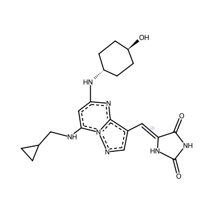 O=C1NC(=O)/C(=C/c2cnn3c(NCC4CC4)cc(N[C@H]4CC[C@H](O)CC4)nc23)N1